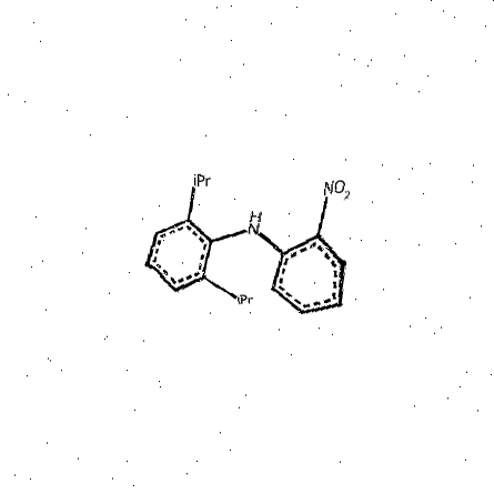 CC(C)c1cccc(C(C)C)c1Nc1ccccc1[N+](=O)[O-]